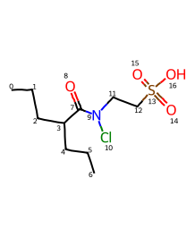 CCCC(CCC)C(=O)N(Cl)CCS(=O)(=O)O